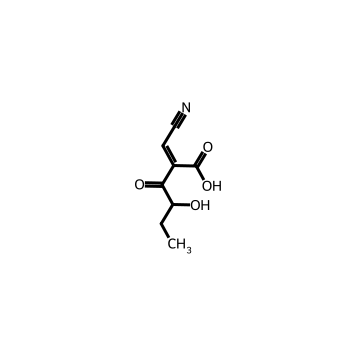 CCC(O)C(=O)/C(=C/C#N)C(=O)O